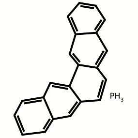 P.c1ccc2cc3c(ccc4cc5ccccc5cc43)cc2c1